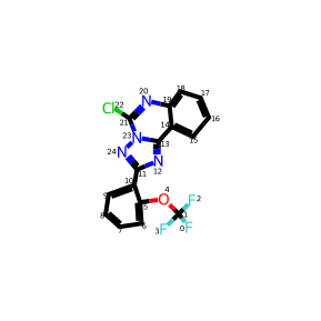 FC(F)(F)Oc1ccccc1-c1nc2c3ccccc3nc(Cl)n2n1